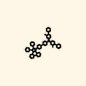 Cc1cc(N(c2ccc(-c3ccc(-n4c(-c5ccccc5)c(-c5ccccc5)c5c6ccccc6c6ccccc6c54)cc3)cc2)c2ccc(-c3ccccc3)c(C)c2)ccc1-c1ccccc1